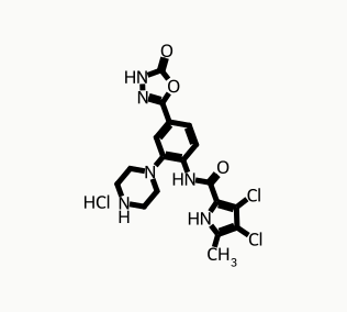 Cc1[nH]c(C(=O)Nc2ccc(-c3n[nH]c(=O)o3)cc2N2CCNCC2)c(Cl)c1Cl.Cl